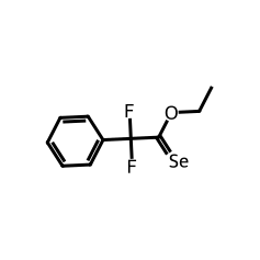 CCOC(=[Se])C(F)(F)c1ccccc1